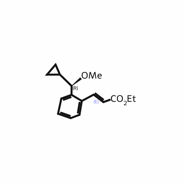 CCOC(=O)/C=C/c1ccccc1[C@H](OC)C1CC1